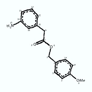 COc1ccc(COC(=O)Cc2cccc(N)c2)cc1